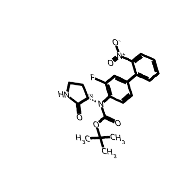 CC(C)(C)OC(=O)N(c1ccc(-c2ccccc2[N+](=O)[O-])cc1F)[C@H]1CCNC1=O